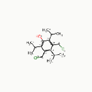 CC(C)c1c(O)c(C(C)C)c(CCl)c(C(C)C)c1CCl